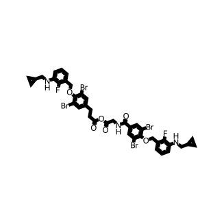 O=C(CCc1cc(Br)c(OCc2cccc(NCC3CC3)c2F)c(Br)c1)OC(=O)CNC(=O)c1cc(Br)c(OCc2cccc(NCC3CC3)c2F)c(Br)c1